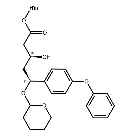 CC(C)(C)OC(=O)C[C@@H](O)C[C@H](OC1CCCCO1)c1ccc(Oc2ccccc2)cc1